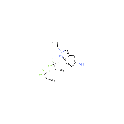 CCC(F)(F)F.CCC(F)(F)F.Nc1ccc2nn(C3CCC3)cc2c1